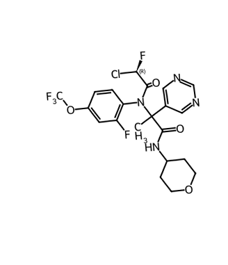 CC(C(=O)NC1CCOCC1)(c1cncnc1)N(C(=O)[C@H](F)Cl)c1ccc(OC(F)(F)F)cc1F